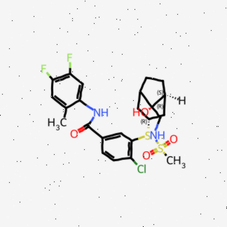 Cc1cc(F)c(F)cc1NC(=O)c1ccc(Cl)c(S[C@@H]2CC3CC[C@@H](C2)[C@@]3(O)CNS(C)(=O)=O)c1